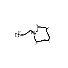 CCN1[CH]CCC1